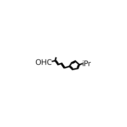 C/C(C=O)=C\C=C\c1ccc(C(C)C)cc1